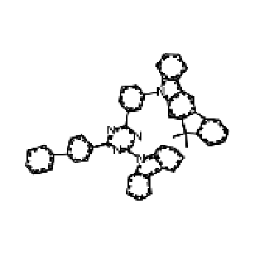 CC1(C)c2ccccc2-c2cc3c4ccccc4n(-c4cccc(-c5nc(-c6ccc(-c7ccccc7)cc6)nc(-n6c7ccccc7c7ccccc76)n5)c4)c3cc21